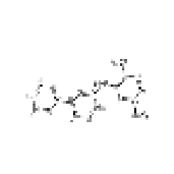 Cc1ccc(N)cc1Nc1cc(-c2cncnc2)ncn1